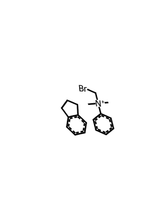 C[N+](C)(CBr)c1ccccc1.c1ccc2c(c1)CCC2